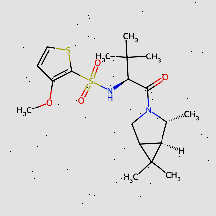 COc1ccsc1S(=O)(=O)N[C@H](C(=O)N1CC2[C@@H]([C@H]1C)C2(C)C)C(C)(C)C